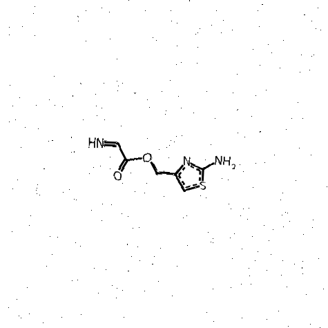 N=CC(=O)OCc1csc(N)n1